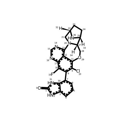 O=c1[nH]c2cccc(-c3c(Cl)c4c5c(ncnc5c3F)N3C[C@@H]5CC[C@@H](N5)[C@@H]3CO4)c2[nH]1